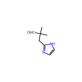 CC(C)(C=O)Cc1ncc[nH]1